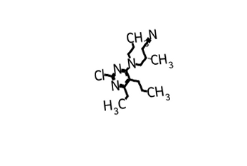 CCCc1c(CC)nc(Cl)nc1N(CCC)C[C@@H](C)CC#N